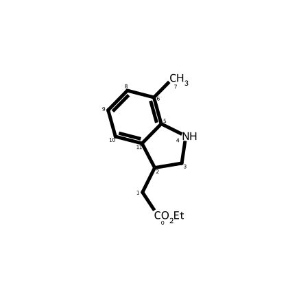 CCOC(=O)CC1CNc2c(C)cccc21